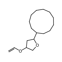 C=COC1COC(C2CCCCCCCCCC2)C1